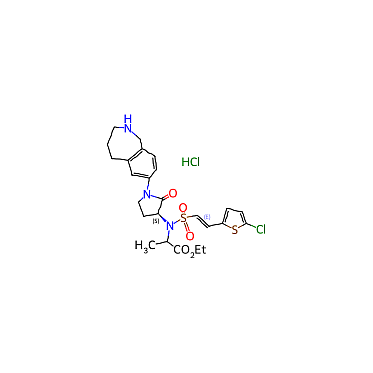 CCOC(=O)C(C)N([C@H]1CCN(c2ccc3c(c2)CCCNC3)C1=O)S(=O)(=O)/C=C/c1ccc(Cl)s1.Cl